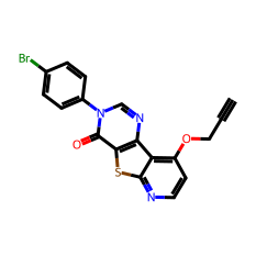 C#CCOc1ccnc2sc3c(=O)n(-c4ccc(Br)cc4)cnc3c12